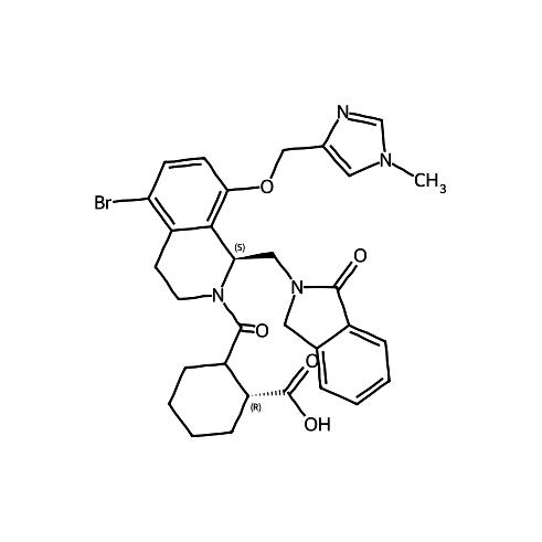 Cn1cnc(COc2ccc(Br)c3c2[C@@H](CN2Cc4ccccc4C2=O)N(C(=O)C2CCCC[C@H]2C(=O)O)CC3)c1